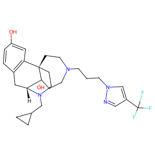 Oc1ccc2c(c1)[C@@]13CCN(CCCn4cc(C(F)(F)F)cn4)CC[C@@]1(O)[C@@H](C2)N(CC1CC1)CC3